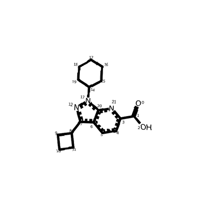 O=C(O)c1ccc2c(C3CCC3)nn(C3CCCCC3)c2n1